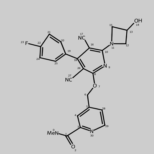 CNC(=O)c1cc(COc2nc(N3CC(O)C3)c(C#N)c(-c3ccc(F)cc3)c2C#N)ccn1